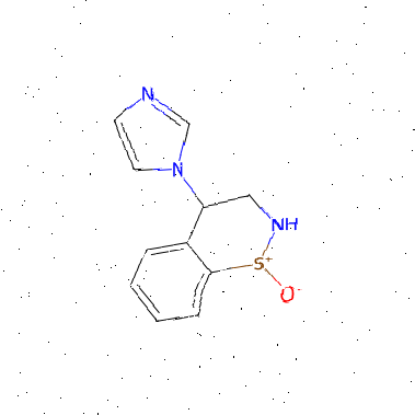 [O-][S+]1NCC(n2ccnc2)c2ccccc21